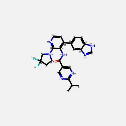 CC(C)c1ncc(C(=O)Nc2c(-c3ccc4[nH]cnc4c3)ccnc2N2CCC(F)(F)C2)cn1